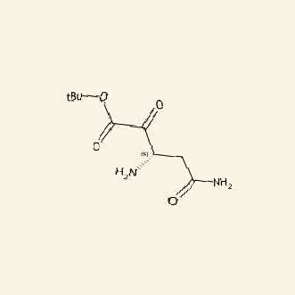 CC(C)(C)OC(=O)C(=O)[C@@H](N)CC(N)=O